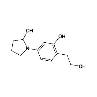 OCCc1ccc(N2CCCC2O)cc1O